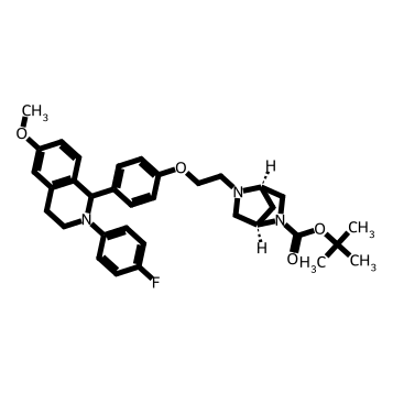 COc1ccc2c(c1)CCN(c1ccc(F)cc1)C2c1ccc(OCCN2C[C@H]3C[C@@H]2CN3C(=O)OC(C)(C)C)cc1